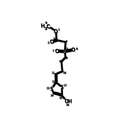 COC(=O)CS(=O)(=O)CCCC=C1SC=C(O)S1